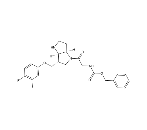 O=C(NCC(=O)N1C[C@H](COc2ccc(F)c(F)c2)[C@H]2NCC[C@H]21)OCc1ccccc1